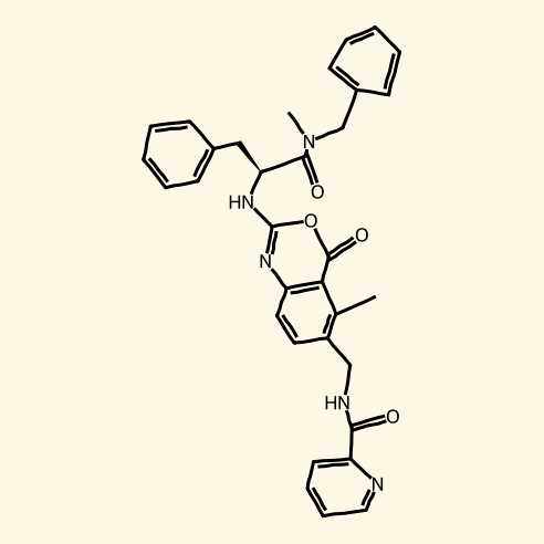 Cc1c(CNC(=O)c2ccccn2)ccc2nc(N[C@@H](Cc3ccccc3)C(=O)N(C)Cc3ccccc3)oc(=O)c12